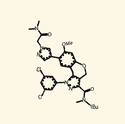 COc1cc2c(cc1-c1cnn(CC(=O)N(C)C)c1)-c1c(c(C(=O)N(C)C(C)(C)C)nn1-c1cc(Cl)cc(Cl)c1)CO2